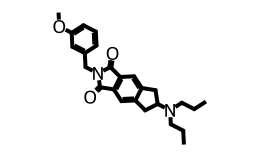 CCCN(CCC)C1Cc2cc3c(cc2C1)C(=O)N(Cc1cccc(OC)c1)C3=O